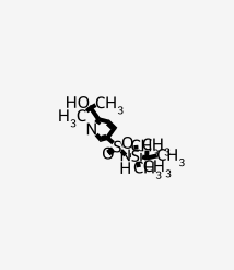 CC(C)(O)c1ccc(S(=O)(=O)N[Si](C)(C)C(C)(C)C)cn1